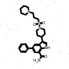 NC(=O)c1cc(-c2ccccc2)cc2c(C3CCN(S(=O)(=O)CCCN4CCCCC4)CC3)c[nH]c12